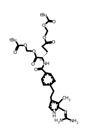 Cc1c(CCc2ccc(C(=O)N[C@@H](CCC(=O)OCOC(=O)C(C)(C)C)C(=O)OCOC(=O)C(C)(C)C)cc2)c[nH]c1N=C(N)N